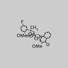 COc1ccc(F)cc1C(C)(C)CC(O)(Cn1cc(OC)c(=O)c2ccccc21)C(F)(F)F